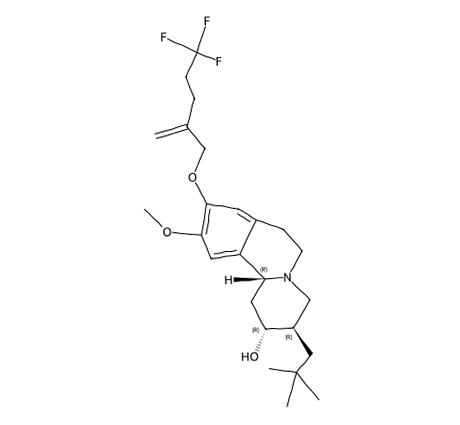 C=C(CCC(F)(F)F)COc1cc2c(cc1OC)[C@H]1C[C@@H](O)[C@H](CC(C)(C)C)CN1CC2